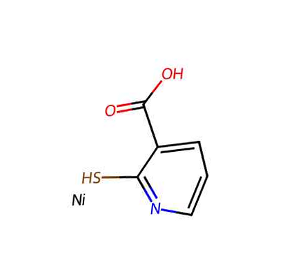 O=C(O)c1cccnc1S.[Ni]